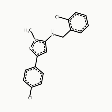 Cn1nc(-c2ccc(Cl)cc2)cc1NCc1ccccc1Cl